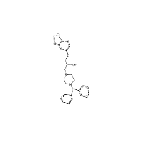 OC(COc1ccc2c(c1)OCO2)CN1CCN(C(c2ccccc2)c2ccccc2)CC1